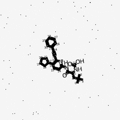 CC(C)(C)CC(NC(=O)O)C(=O)Nc1ccc(C2CCCC2)c(C#Cc2ccccc2)n1